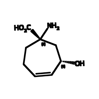 N[C@@]1(C(=O)O)CCC=C[C@@H](O)C1